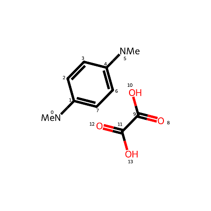 CNc1ccc(NC)cc1.O=C(O)C(=O)O